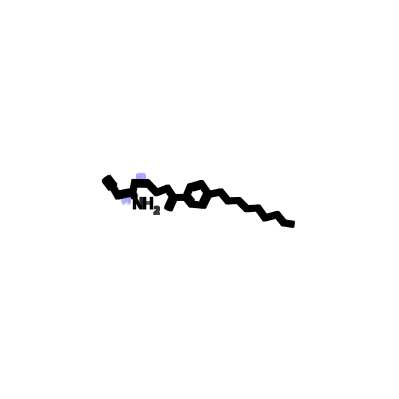 C#C/C=C(N)\C=C/CCC(=C)c1ccc(CCCCCCCCC)cc1